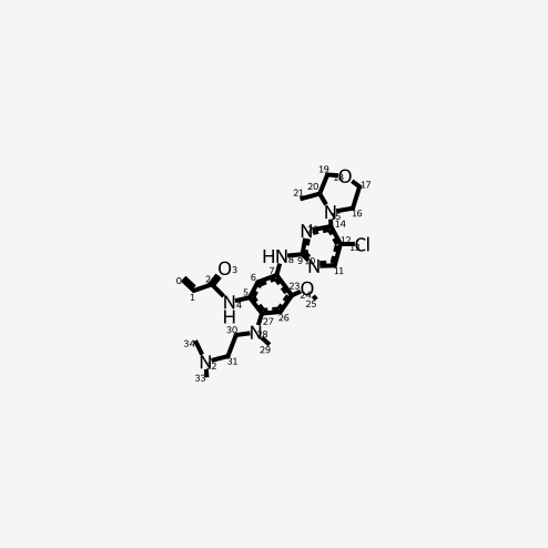 C=CC(=O)Nc1cc(Nc2ncc(Cl)c(N3CCOCC3C)n2)c(OC)cc1N(C)CCN(C)C